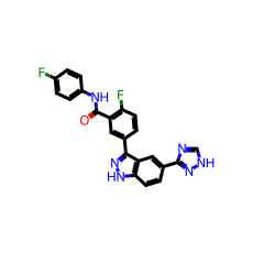 O=C(Nc1ccc(F)cc1)c1cc(-c2n[nH]c3ccc(-c4nc[nH]n4)cc23)ccc1F